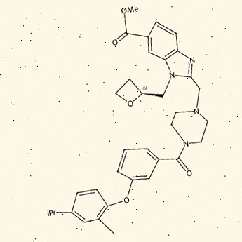 COC(=O)c1ccc2nc(CN3CCN(C(=O)c4cccc(Oc5ccc(C(C)C)cc5C)c4)CC3)n(C[C@@H]3CCO3)c2c1